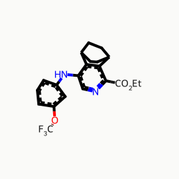 CCOC(=O)c1ncc(Nc2cccc(OC(F)(F)F)c2)c2c1C1CCC2CC1